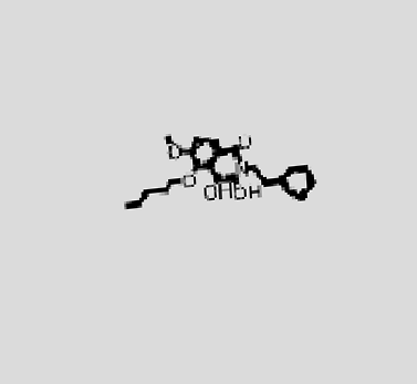 CCCCCOc1c(OC)ccc2c(=O)n(CCc3ccccc3)c(O)c(O)c12